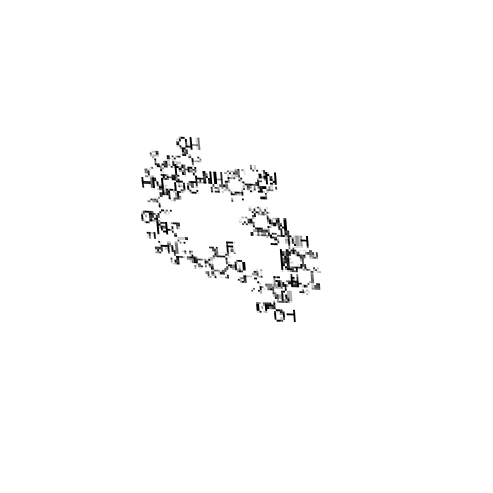 Cc1ncsc1-c1ccc(CNC(=O)[C@@H]2C[C@@H](O)CN2C(=O)[C@@H](NC(=O)CCC(=O)N2CCN(CC#Cc3ccc(OCCCc4sc(N5CCCc6c5nnc(Nc5nc7ccccc7s5)c6C)nc4C(=O)O)c(F)c3)CC2)C(C)(C)C)cc1